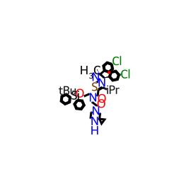 CC(C)C1=C(C(=O)N(CCO[Si](c2ccccc2)(c2ccccc2)C(C)(C)C)CC(=O)N2CCNC3(CC3)C2)SC2=N[C@@](C)(c3ccc(Cl)cc3)[C@@H](c3ccc(Cl)cc3)N21